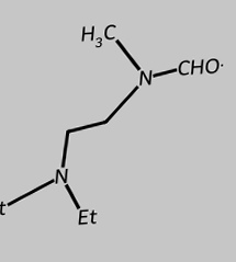 CCN(CC)CCN(C)[C]=O